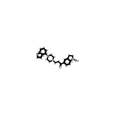 CC(=O)N1CCc2cc(C(=O)CCN3CCN(c4cccc5sccc45)CC3)ccc21